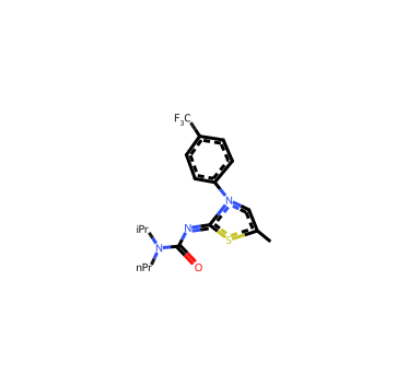 CCCN(C(=O)N=c1sc(C)cn1-c1ccc(C(F)(F)F)cc1)C(C)C